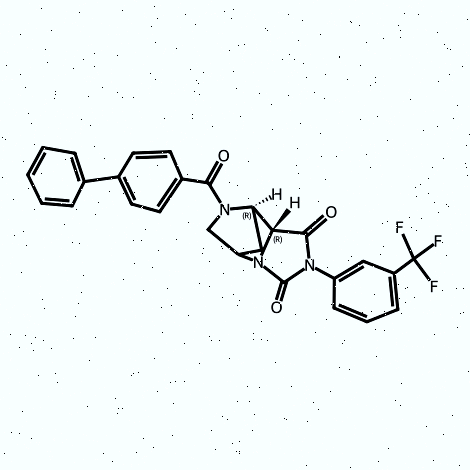 O=C1[C@H]2[C@H]3CC(CN3C(=O)c3ccc(-c4ccccc4)cc3)N2C(=O)N1c1cccc(C(F)(F)F)c1